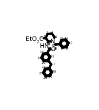 CCOC(=O)C1CCCN(Cc2ccccc2)C1NC(=O)c1cccc(Cc2ccccc2)c1